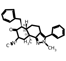 [C-]#[N+]C1C[C@]2(C)c3nn(C)c(-c4ccccc4)c3CC[C@H]2[C@H](Cc2ccccc2)C1=O